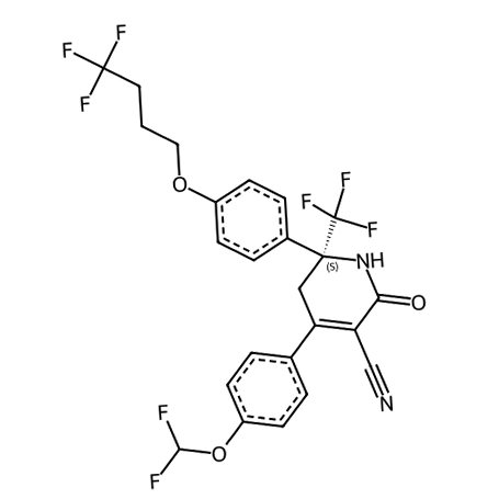 N#CC1=C(c2ccc(OC(F)F)cc2)C[C@](c2ccc(OCCCC(F)(F)F)cc2)(C(F)(F)F)NC1=O